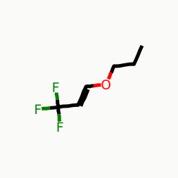 CCCOC=CC(F)(F)F